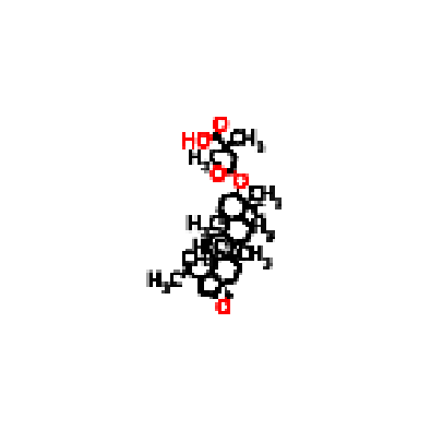 C=C(C)[C@@H]1CC[C@]2(C=O)CC[C@]3(C)C(CCC4[C@@]5(C)CC[C@H](OC(=O)CC(C)(C)C(=O)O)C(C)(C)C5CC[C@]43C)C12